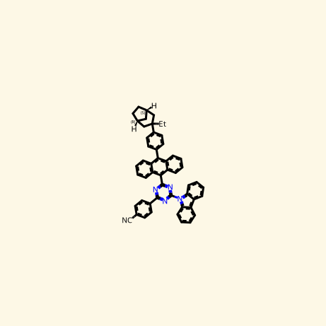 CCC1(c2ccc(-c3c4ccccc4c(-c4nc(-c5ccc(C#N)cc5)nc(-n5c6ccccc6c6ccccc65)n4)c4ccccc34)cc2)C[C@@H]2CC[C@@H](C2)C1